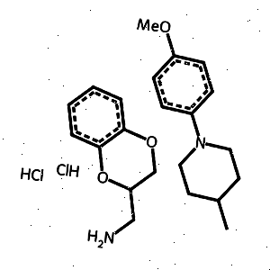 COc1ccc(N2CCC(C)CC2)cc1.Cl.Cl.NCC1COc2ccccc2O1